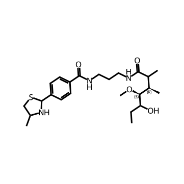 CCC(O)[C@@H](OC)[C@H](C)C(C)C(=O)NCCCNC(=O)c1ccc(C2NC(C)CS2)cc1